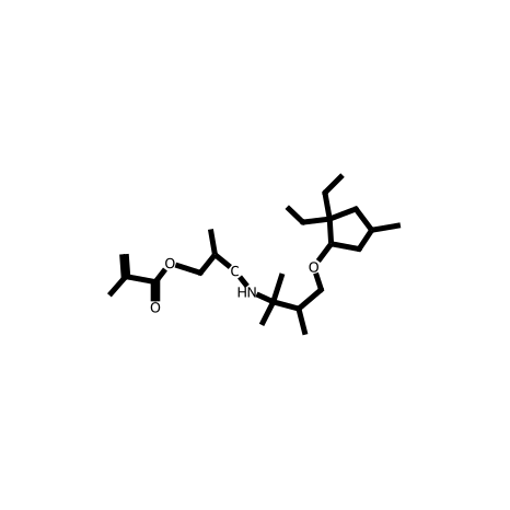 C=C(C)C(=O)OCC(C)CNC(C)(C)C(C)COC1CC(C)CC1(CC)CC